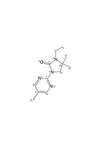 CCN1C(=O)N(c2ncc(I)cn2)CC1(C)C